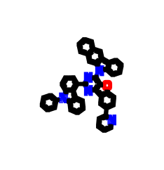 c1ccc(-n2c3ccccc3c3c(-c4nc(-n5c6ccccc6c6cc7ccccc7cc65)c5oc6ccc(-c7ccccn7)cc6c5n4)cccc32)cc1